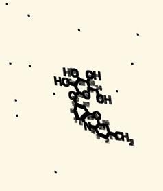 C=C1C=CC2=Nc3ccc(OC4OC(CO)C(O)C(O)C4O)cc3OC2C1